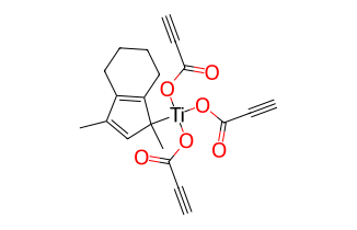 C#CC(=O)[O][Ti]([O]C(=O)C#C)([O]C(=O)C#C)[C]1(C)C=C(C)C2=C1CCCC2